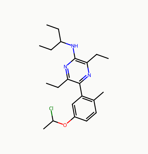 CCc1nc(-c2cc(OC(C)Cl)ccc2C)c(CC)nc1NC(CC)CC